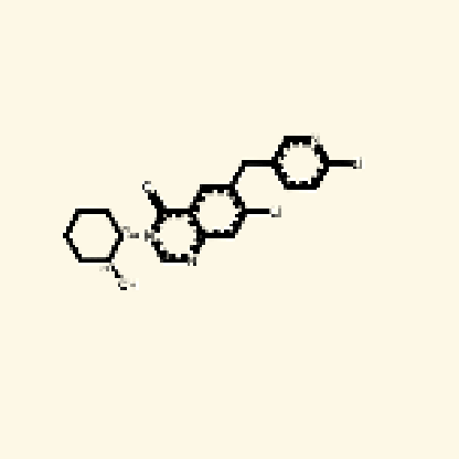 O=c1c2cc(Cc3ccc(Cl)nc3)c(Cl)cc2ncn1[C@H]1CCCC[C@@H]1O